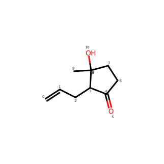 C=CCC1C(=O)CCC1(C)O